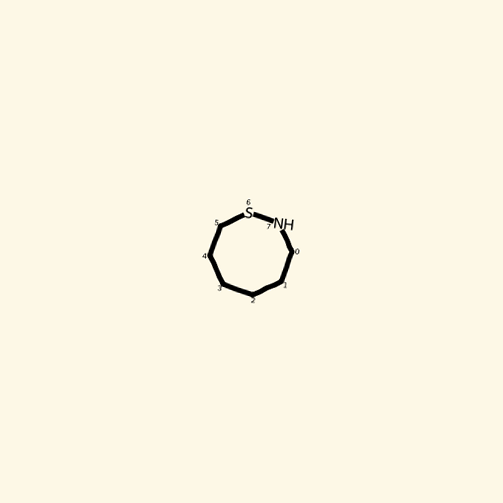 [CH]1CCCCCSN1